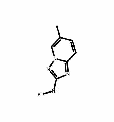 Cc1ccc2nc(NBr)nn2c1